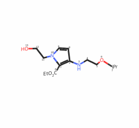 CCOC(=O)c1c(NCCOC(C)C)ccn1CCO